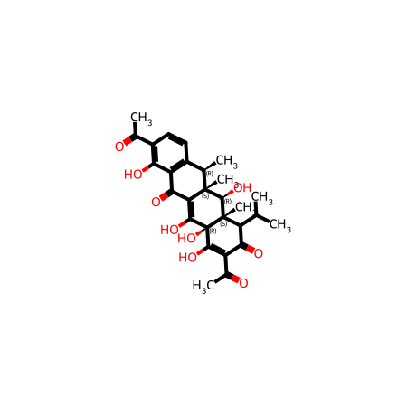 CC(=O)C1=C(O)[C@]2(O)C(O)=C3C(=O)c4c(ccc(C(C)=O)c4O)[C@@H](C)[C@]3(C)[C@@H](O)[C@]2(C)C(C(C)C)C1=O